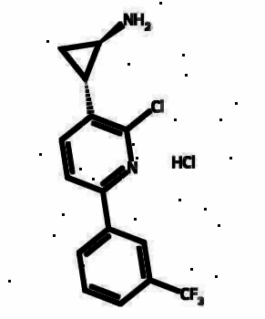 Cl.N[C@@H]1C[C@H]1c1ccc(-c2cccc(C(F)(F)F)c2)nc1Cl